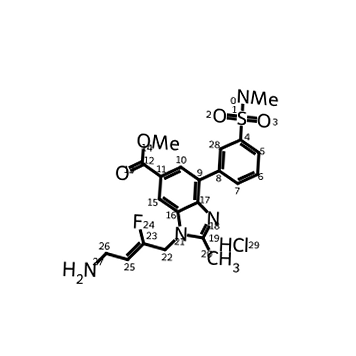 CNS(=O)(=O)c1cccc(-c2cc(C(=O)OC)cc3c2nc(C)n3CC(F)=CCN)c1.Cl